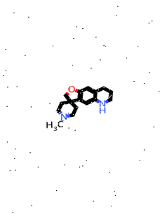 CN1CCC2(CC1)COc1cc3c(cc12)NCCC3